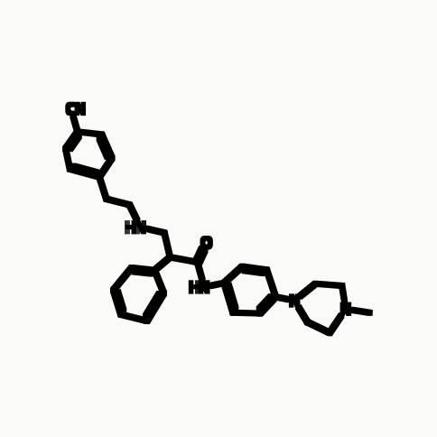 CN1CCN(c2ccc(NC(=O)C(CNCCc3ccc(C#N)cc3)c3ccccc3)cc2)CC1